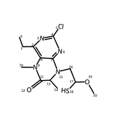 CCc1nc(Cl)nc2c1N(C)C(=O)C(C)N2CC(S)OC